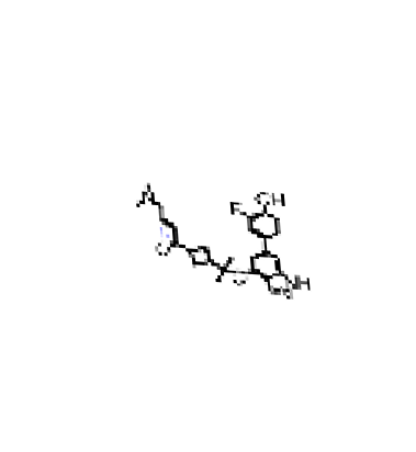 CN(C)C/C=C/C(=O)C1CC(C(C)(C)Oc2cc(-c3ccc(O)c(F)c3)cc3[nH]ncc23)C1